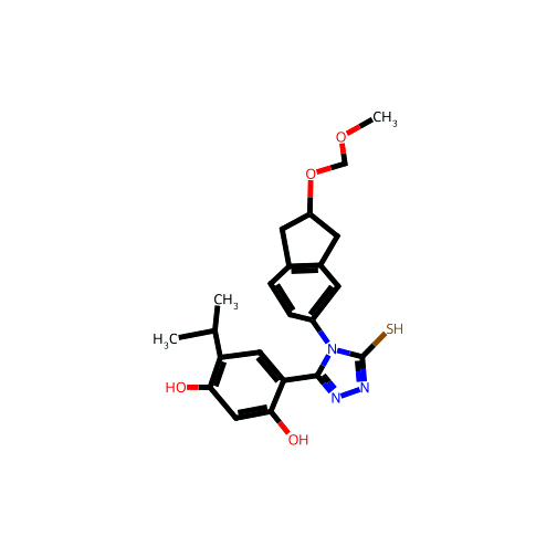 COCOC1Cc2ccc(-n3c(S)nnc3-c3cc(C(C)C)c(O)cc3O)cc2C1